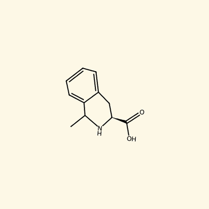 CC1N[C@H](C(=O)O)Cc2ccccc21